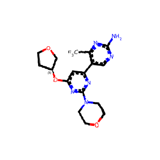 Nc1ncc(-c2cc(O[C@H]3CCOC3)nc(N3CCOCC3)n2)c(C(F)(F)F)n1